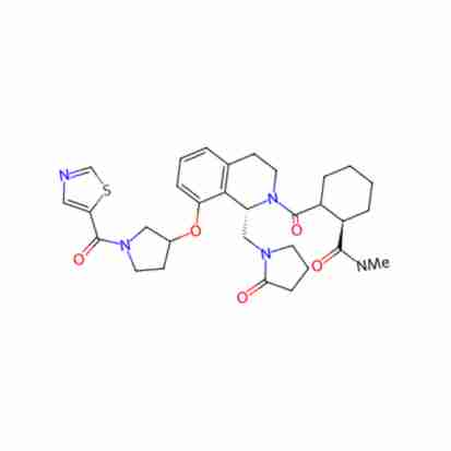 CNC(=O)[C@@H]1CCCCC1C(=O)N1CCc2cccc(OC3CCN(C(=O)c4cncs4)C3)c2[C@H]1CN1CCCC1=O